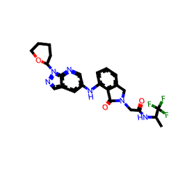 CC(NC(=O)CN1Cc2cccc(Nc3cnc4c(cnn4C4CCCCO4)c3)c2C1=O)C(F)(F)F